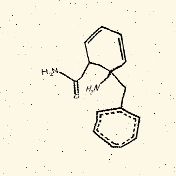 NC(=O)C1C=CC=CC1(N)Cc1ccccc1